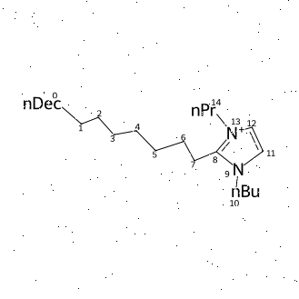 CCCCCCCCCCCCCCCCCc1n(CCCC)cc[n+]1CCC